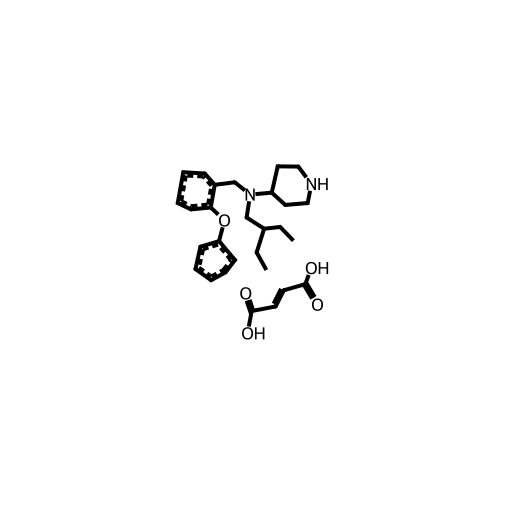 CCC(CC)CN(Cc1ccccc1Oc1ccccc1)C1CCNCC1.O=C(O)C=CC(=O)O